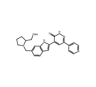 COCC1CCCN1Cc1ccc2cc(-c3cc(-c4ccncc4)n[nH]c3=O)[nH]c2c1